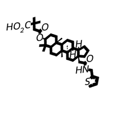 CC(C)(CC(=O)O[C@H]1CC[C@@]2(C)C(CC[C@]3(C)C2CC[C@@H]2[C@H]4CCC[C@]4(CC(=O)NCc4cccs4)CC[C@]23C)C1(C)C)C(=O)O